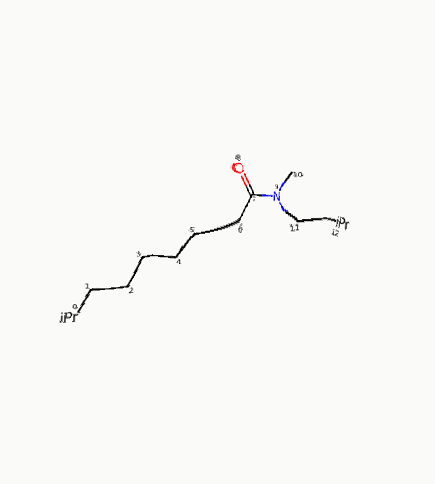 CC(C)CCCCCCC(=O)N(C)CC(C)C